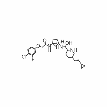 O=C(COc1ccc(Cl)c(F)c1)NC12CC(C1)[C@@H](NC(O)C1CCC(/C=C/C3CC3)CN1)C2